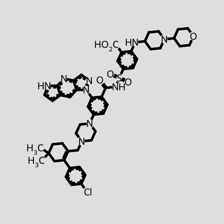 CC1(C)CCC(CN2CCN(c3ccc(C(=O)NS(=O)(=O)c4ccc(NC5CCN(C6CCOCC6)CC5)c(C(=O)O)c4)c(-n4ncc5nc6[nH]ccc6cc54)c3)CC2)=C(c2ccc(Cl)cc2)C1